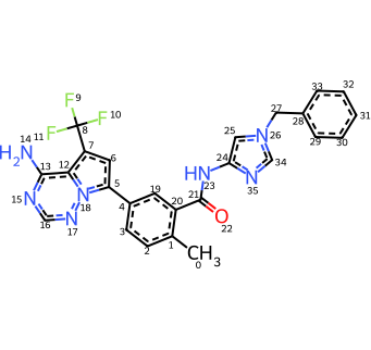 Cc1ccc(-c2cc(C(F)(F)F)c3c(N)ncnn23)cc1C(=O)Nc1cn(Cc2ccccc2)cn1